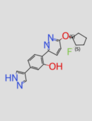 Oc1cc(-c2cn[nH]c2)ccc1-c1ccc(O[C@H]2CCC[C@@H]2F)nn1